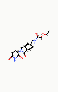 CCOCC(=O)NCc1ccc2c(c1)CN(C1CCC(=O)NC1=O)C2=O